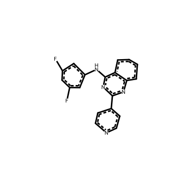 Fc1cc(F)cc(Nc2nc(-c3ccncc3)nc3ccccc23)c1